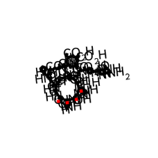 C[C@H](O)[C@H]1NC(=O)[C@@H](Cc2cnc[nH]2)NC(=O)[C@@H](CO)NC(=O)[C@@H](Cc2cnc[nH]2)NC(=O)[C@@H](NC(=O)CC[C@H](NC(=O)c2ccc(NCc3cnc4nc(N)[nH]c(=O)c4n3)cc2)C(=O)O)Cc2cn(nn2)CCCC[C@@H](C(=O)NCC(=O)N[C@@H](Cc2ccccc2)C(=O)N[C@@H](CCCCNC(=O)CN2CCN(CC(=O)O)CCN(CC(=O)O)CCN(CC(=O)O)CC2)C(=O)O)NC(=O)[C@@H](C)NC1=O